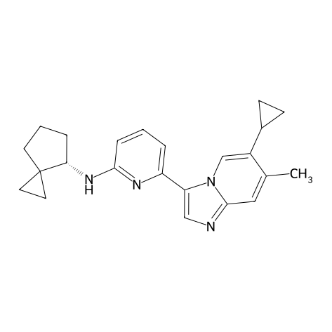 Cc1cc2ncc(-c3cccc(N[C@H]4CCCC45CC5)n3)n2cc1C1CC1